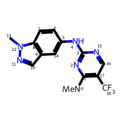 CNc1nc(Nc2ccc3c(cnn3C)c2)ncc1C(F)(F)F